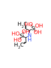 C=CC(NC(C=C)[Si](O)(O)O)[Si](O)(O)O